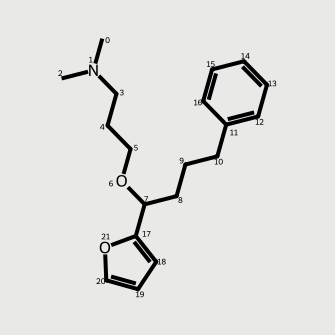 CN(C)CCCOC(CCCc1ccccc1)c1ccco1